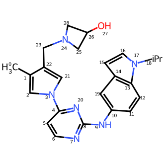 Cc1cn(-c2ccnc(Nc3ccc4c(ccn4C(C)C)c3)n2)cc1CN1CC(O)C1